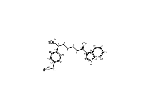 CCCCC(CCCCC(=O)c1c[nH]c2ccccc12)c1ccc(CC(C)C)cc1